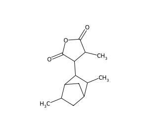 CC1CC2CC1C(C1C(=O)OC(=O)C1C)C2C